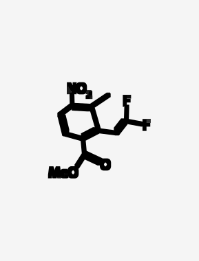 COC(=O)c1ccc([N+](=O)[O-])c(C)c1C=C(F)F